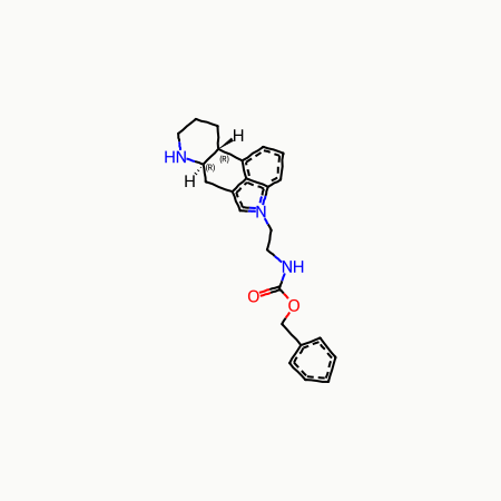 O=C(NCCn1cc2c3c(cccc31)[C@H]1CCCN[C@@H]1C2)OCc1ccccc1